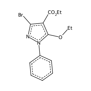 CCOC(=O)c1c(Br)nn(-c2ccccc2)c1OCC